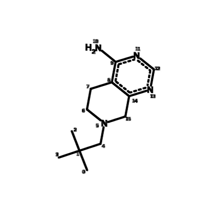 CC(C)(C)CN1CCc2c(N)ncnc2C1